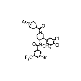 CC(=O)N1CCC(C(=O)N2CCC(N(C)C(=O)c3cc(Br)cc(C(F)(F)F)c3)C(c3ccc(Cl)c(Cl)c3)C2)CC1